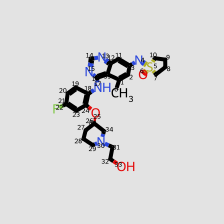 Cc1cc(N=S2(=O)CCCC2)cc2ncnc(Nc3ccc(F)cc3O[C@@H]3CCCN(CCO)C3)c12